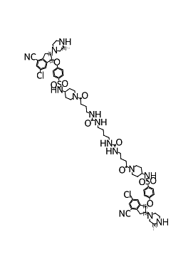 C[C@@H]1CN([C@H]2Cc3c(C#N)cc(Cl)cc3[C@@H]2Oc2ccc(S(=O)(=O)NC3CCN(C(=O)CCCNC(=O)NCCCCNC(=O)NCCCC(=O)N4CCC(NS(=O)(=O)c5ccc(O[C@H]6c7cc(Cl)cc(C#N)c7C[C@@H]6N6CCN[C@H](C)C6)cc5)CC4)CC3)cc2)CCN1